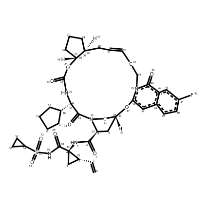 C=C[C@@H]1C[C@]1(NC(=O)[C@@H]1C[C@@H]2CN1C(=O)[C@H](C1CCCC1)NC(=O)O[C@@H]1CCC[C@H]1CC=CCCn1c(cc3ccc(F)cc3c1=O)O2)C(=O)NS(=O)(=O)C1CC1